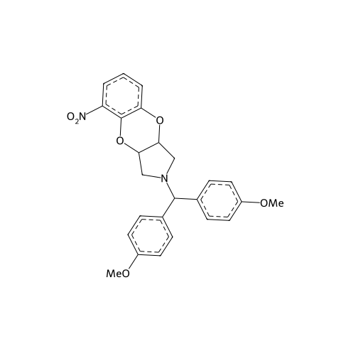 COc1ccc(C(c2ccc(OC)cc2)N2CC3Oc4cccc([N+](=O)[O-])c4OC3C2)cc1